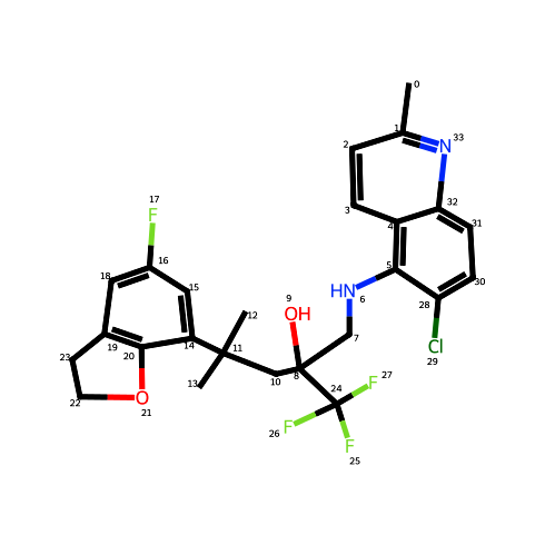 Cc1ccc2c(NCC(O)(CC(C)(C)c3cc(F)cc4c3OCC4)C(F)(F)F)c(Cl)ccc2n1